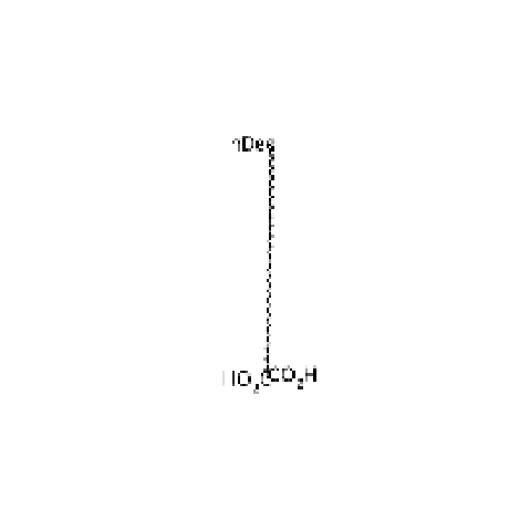 CCCCCCCCCCCCCCCCCCCCCCCCCCCCCCCCCCCCCCCCCCCCCCCCCCCCCCCCC(C(=O)O)C(=O)O